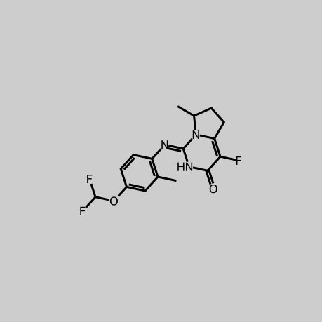 Cc1cc(OC(F)F)ccc1/N=c1\[nH]c(=O)c(F)c2n1C(C)CC2